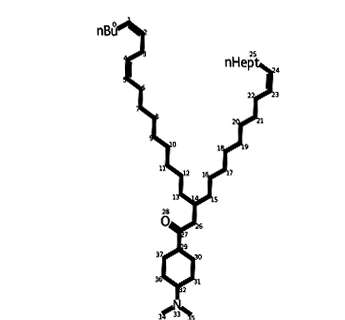 CCCC/C=C\C/C=C\CCCCCCCCC(CCCCCCCC/C=C\CCCCCCC)CC(=O)C1CCC(N(C)C)CC1